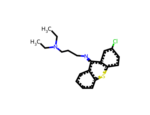 CCN(CC)CCC/N=c1\c2ccccc2sc2ccc(Cl)cc12